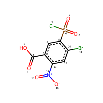 O=C(O)c1cc(S(=O)(=O)Cl)c(Br)cc1[N+](=O)[O-]